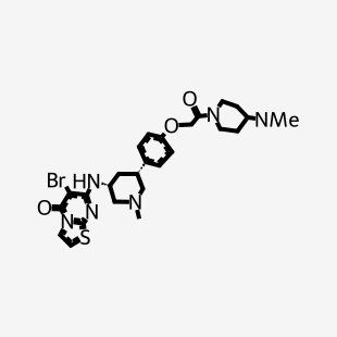 CNC1CCN(C(=O)COc2ccc([C@H]3C[C@@H](Nc4nc5sccn5c(=O)c4Br)CN(C)C3)cc2)CC1